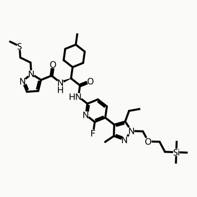 CCc1c(-c2ccc(NC(=O)[C@@H](NC(=O)c3ccnn3CCSC)C3CCC(C)CC3)nc2F)c(C)nn1COCC[Si](C)(C)C